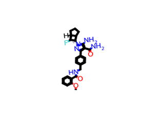 COc1ccccc1C(=O)NCc1ccc(-c2nn([C@H]3C(F)[C@@H]4CCCC43)c(N)c2C(N)=O)cc1